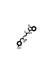 CN1CC(NC(=O)CC[C@H](Cc2ccc(O)cc2)N(C)C)c2ccccc21